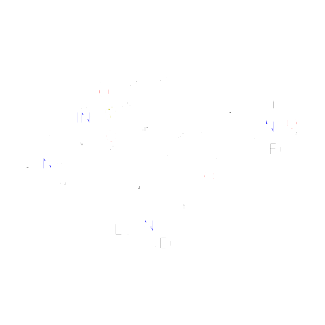 CCN(CC)c1ccc2c(c1)OC1=CC([N+]([O-])(CC)CC)C=CC1=C2c1cccc(S(=O)(=O)NCCN(C)C)c1